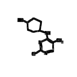 Cc1cnc(Cl)nc1NC1CCC(O)CC1